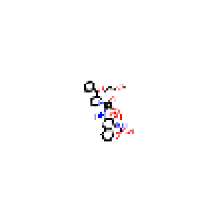 COCCCOC(c1ccccc1)C1CCCN(c2c(N[C@@H](CC3CCCCC3)[C@H](O)CNC(=O)O)c(=O)c2=O)C1